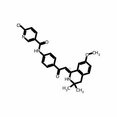 COc1ccc2c(c1)/C(=C/C(=O)c1ccc(NC(=O)c3ccc(Cl)nc3)cc1)NC(C)(C)C2